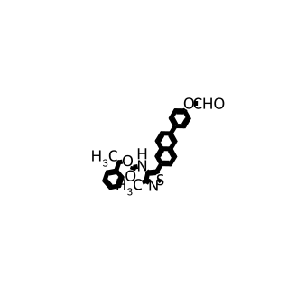 Cc1nsc(-c2ccc3cc(-c4ccc(OC=O)cc4)ccc3c2)c1NC(=O)O[C@H](C)c1ccccc1